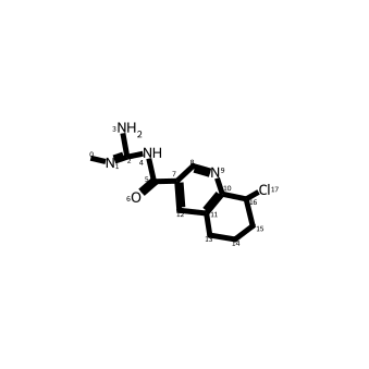 CN=C(N)NC(=O)c1cnc2c(c1)CCCC2Cl